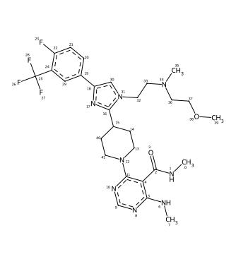 CNC(=O)c1c(NC)ncnc1N1CCC(c2nc(-c3ccc(F)c(C(F)(F)F)c3)cn2CCN(C)CCOC)CC1